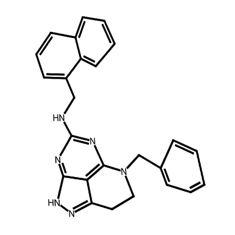 c1ccc(CN2CCc3n[nH]c4nc(NCc5cccc6ccccc56)nc2c34)cc1